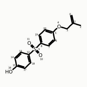 C=C(C)COc1ccc(S(=O)(=O)c2ccc(O)cc2)cc1